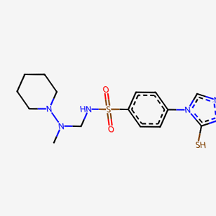 CN(CNS(=O)(=O)c1ccc(-n2cnnc2S)cc1)N1CCCCC1